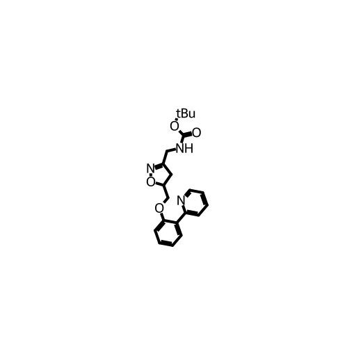 CC(C)(C)OC(=O)NCC1=NOC(COc2ccccc2-c2ccccn2)C1